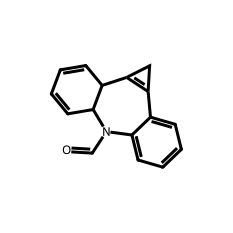 O=CN1c2ccccc2C2=C(C2)C2C=CC=CC21